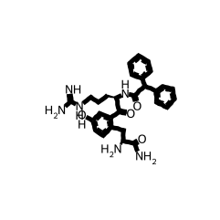 N=C(N)NCCC[C@@H](NC(=O)C(c1ccccc1)c1ccccc1)C(=O)c1cc(O)ccc1C[C@H](N)C(N)=O